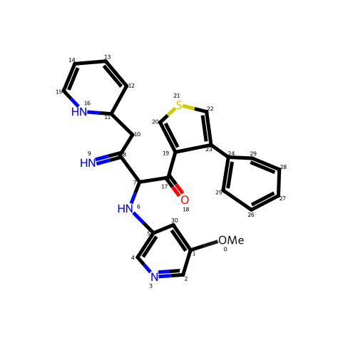 COc1cncc(NC(C(=N)CC2C=CC=CN2)C(=O)c2cscc2-c2ccccc2)c1